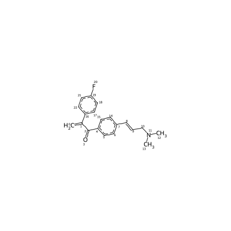 C=C(C(=O)c1ccc(C=CCN(C)C)cc1)c1ccc(F)cc1